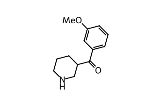 COc1cccc(C(=O)C2CCCNC2)c1